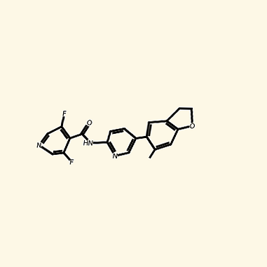 Cc1cc2c(cc1-c1ccc(NC(=O)c3c(F)cncc3F)nc1)CCO2